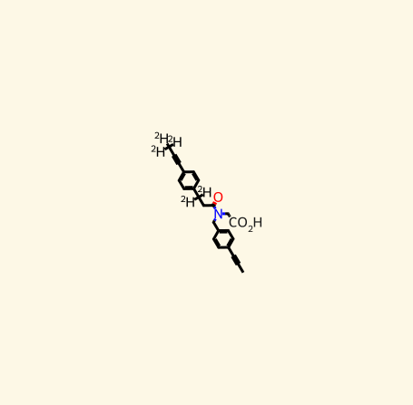 [2H]C([2H])([2H])C#Cc1ccc(C([2H])([2H])CC(=O)N(CC(=O)O)Cc2ccc(C#CC)cc2)cc1